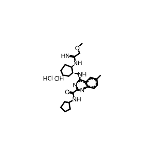 COCC(=N)N[C@@H]1CCCC[C@@H]1Nc1nc(C(=O)NC2CCCC2)nc2ccc(C)cc12.Cl.Cl